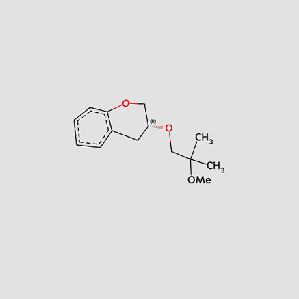 COC(C)(C)CO[C@H]1COc2ccccc2C1